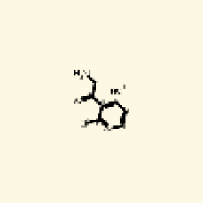 Cl.NCC(=O)c1cccnc1Cl